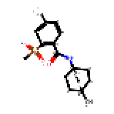 CS(=O)(=O)c1cc(C(F)(F)F)ccc1C(=O)NC12CCC(C#N)(CC1)CC2